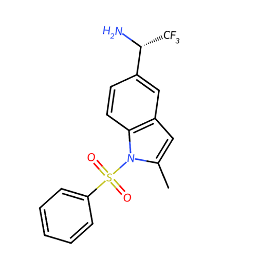 Cc1cc2cc([C@H](N)C(F)(F)F)ccc2n1S(=O)(=O)c1ccccc1